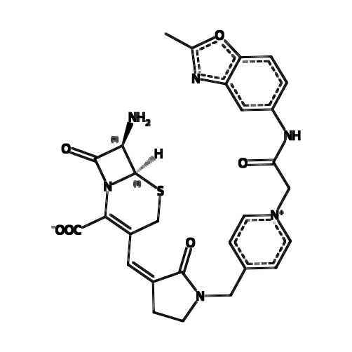 Cc1nc2cc(NC(=O)C[n+]3ccc(CN4CCC(=CC5=C(C(=O)[O-])N6C(=O)[C@@H](N)[C@H]6SC5)C4=O)cc3)ccc2o1